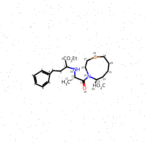 CCOC(=O)C(CCc1ccccc1)N[C@@H](C)C(=O)N1CCSCCCC[C@H]1C(=O)O